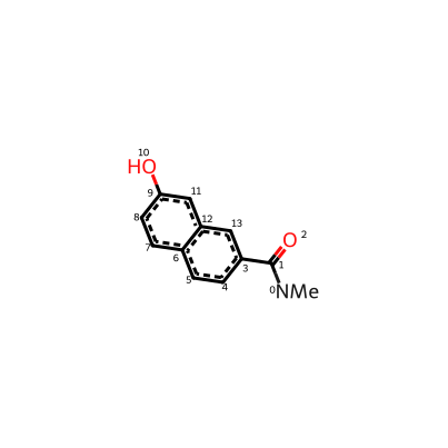 CNC(=O)c1ccc2ccc(O)cc2c1